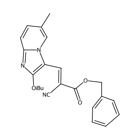 Cc1ccc2nc(OCC(C)C)c(C=C(C#N)C(=O)OCc3ccccc3)n2c1